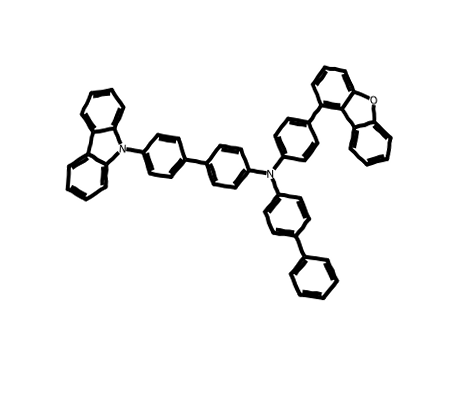 c1ccc(-c2ccc(N(c3ccc(-c4ccc(-n5c6ccccc6c6ccccc65)cc4)cc3)c3ccc(-c4cccc5oc6ccccc6c45)cc3)cc2)cc1